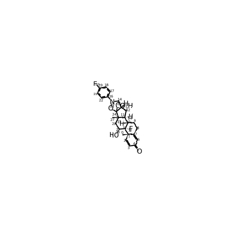 C[C@]12C=CC(=O)C=C1CC[C@H]1[C@@H]3C[C@H]4CN(c5ccc(F)cc5)O[C@@]4(C(=O)O)[C@@]3(C)C[C@H](O)[C@@]12F